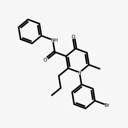 CCCc1c(C(=O)Nc2ccccc2)c(=O)cc(C)n1-c1cccc(Br)c1